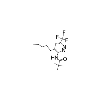 CCCCCc1cc(C(F)(F)F)nnc1NC(=O)C(C)(C)C